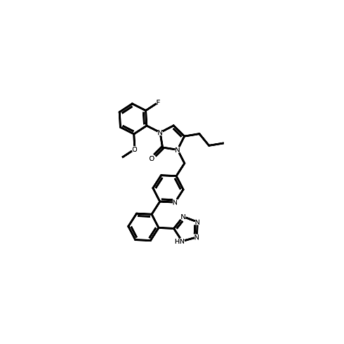 CCCc1cn(-c2c(F)cccc2OC)c(=O)n1Cc1ccc(-c2ccccc2-c2nnn[nH]2)nc1